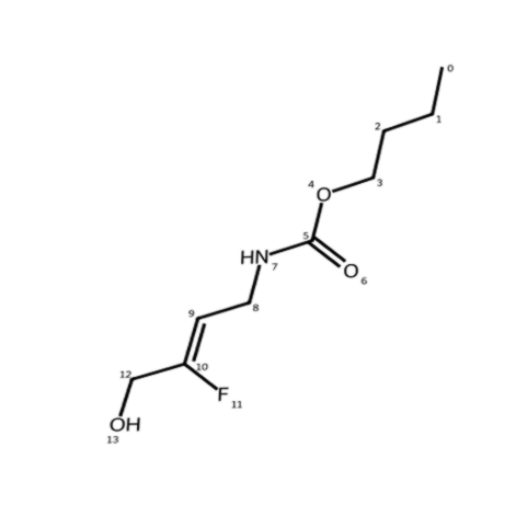 CCCCOC(=O)NCC=C(F)CO